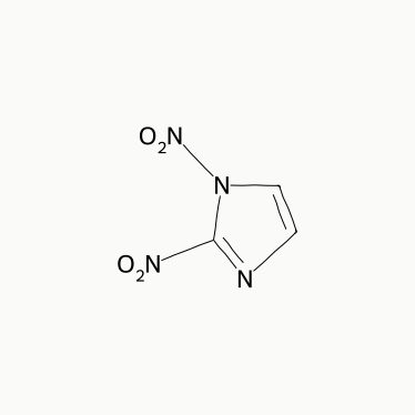 O=[N+]([O-])c1nccn1[N+](=O)[O-]